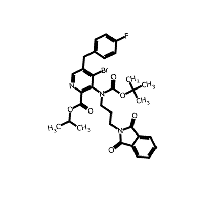 CC(C)OC(=O)c1ncc(Cc2ccc(F)cc2)c(Br)c1N(CCCN1C(=O)c2ccccc2C1=O)C(=O)OC(C)(C)C